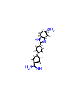 N=C(N)c1ccc(-c2ccc(-c3nc4cc(N)ccc4[nH]3)cc2)cc1